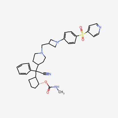 CNC(=O)O[C@@H]1CCCC1C(C#N)(c1ccccc1)C1CCN(CC2CN(c3ccc(S(=O)(=O)c4ccncc4)cc3)C2)CC1